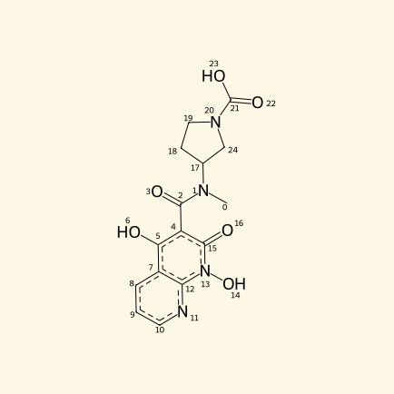 CN(C(=O)c1c(O)c2cccnc2n(O)c1=O)C1CCN(C(=O)O)C1